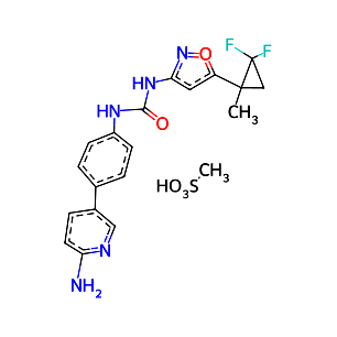 CC1(c2cc(NC(=O)Nc3ccc(-c4ccc(N)nc4)cc3)no2)CC1(F)F.CS(=O)(=O)O